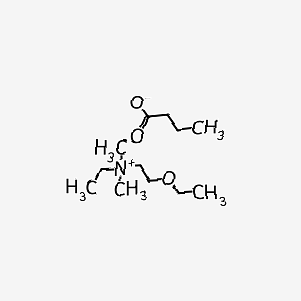 CCCC(=O)[O-].CCOCC[N+](C)(C)CC